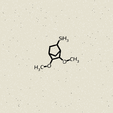 COC1C2CC([SiH3])C(C2)C1OC